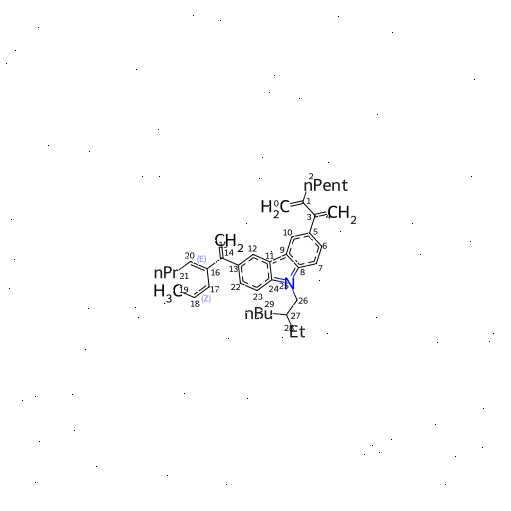 C=C(CCCCC)C(=C)c1ccc2c(c1)c1cc(C(=C)C(/C=C\C)=C/CCC)ccc1n2CC(CC)CCCC